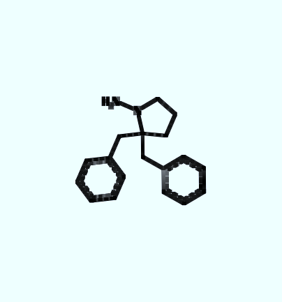 NN1CCCC1(Cc1ccccc1)Cc1ccccc1